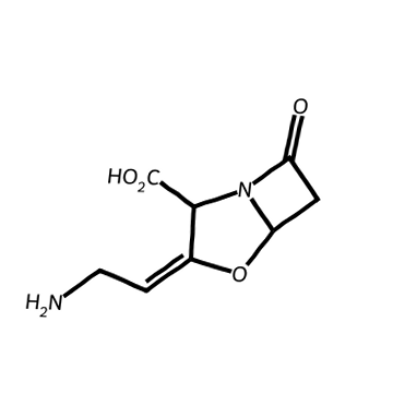 NCC=C1OC2CC(=O)N2C1C(=O)O